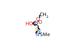 C=CCOC(=O)N1C[C@H](O)C[C@H]1Cc1cn2c(SC)ncc2s1